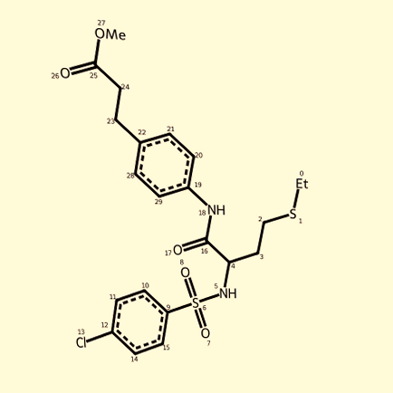 CCSCCC(NS(=O)(=O)c1ccc(Cl)cc1)C(=O)Nc1ccc(CCC(=O)OC)cc1